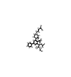 CCOC(=O)C(CC(C)C)c1cc(-c2ccccc2)cc(C2CCN(CC=CC(C)C)CC2)c1C(F)(F)F